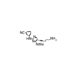 CNc1nc(Nc2cccc(C#N)c2)ncc1C#CCCCN